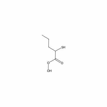 CCCC(S)C(=O)OO